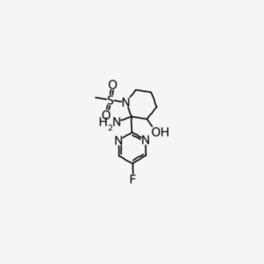 CS(=O)(=O)N1CCCC(O)C1(N)c1ncc(F)cn1